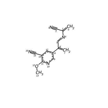 C=C(C#N)/N=C/C(=C)c1cnc(OC)c(C#N)c1